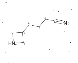 N#CCCCC1CNC1